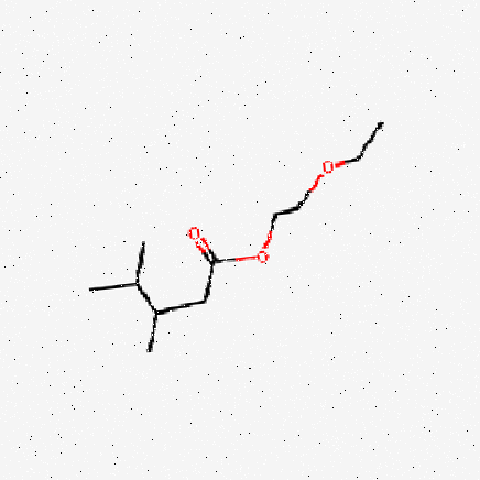 CCOCCOC(=O)CC(C)C(C)C